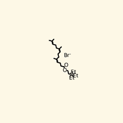 CC[N+](CC)(CC)CCOC(=O)CCC=C(C)CCC=C(C)CCC=C(C)C.[Br-]